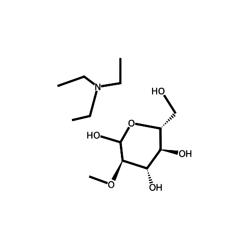 CCN(CC)CC.CO[C@H]1C(O)O[C@H](CO)[C@@H](O)[C@@H]1O